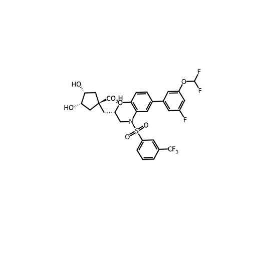 O=C(O)[C@]1(C[C@H]2CN(S(=O)(=O)c3cccc(C(F)(F)F)c3)c3cc(-c4cc(F)cc(OC(F)F)c4)ccc3O2)C[C@@H](O)[C@@H](O)C1